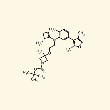 Cc1ccc(-c2c(C)noc2C)cc1N(CCOC1(C)CN(C(=O)OC(C)(C)C)C1)C1=CC[C@H]1C